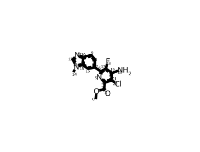 COC(=O)c1nc(-c2ccc3ncn(C)c3c2)c(F)c(N)c1Cl